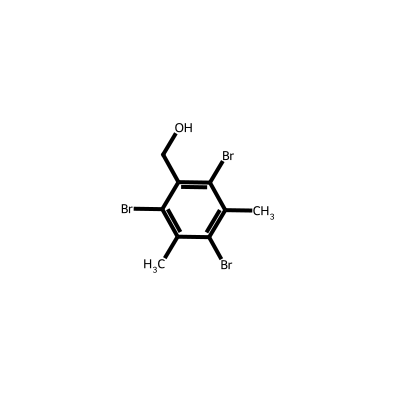 Cc1c(Br)c(C)c(Br)c(CO)c1Br